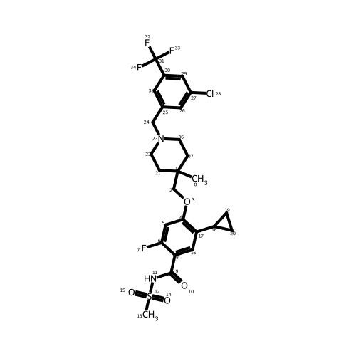 CC1(COc2cc(F)c(C(=O)NS(C)(=O)=O)cc2C2CC2)CCN(Cc2cc(Cl)cc(C(F)(F)F)c2)CC1